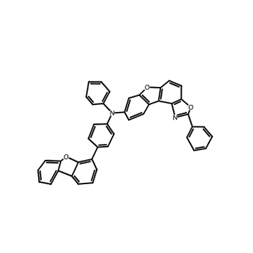 c1ccc(-c2nc3c(ccc4oc5cc(N(c6ccccc6)c6ccc(-c7cccc8c7oc7ccccc78)cc6)ccc5c43)o2)cc1